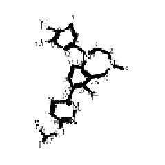 CN1CCN(c2ccc(F)c(F)c2)c2ccc(-c3ccc(OC(F)F)nn3)c(F)c2C1